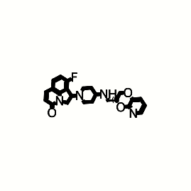 O=c1ccc2ccc(F)c3c2n1CC3N1CCC(NC[C@H]2COc3cccnc3O2)CC1